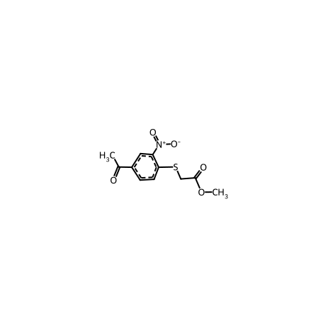 COC(=O)CSc1ccc(C(C)=O)cc1[N+](=O)[O-]